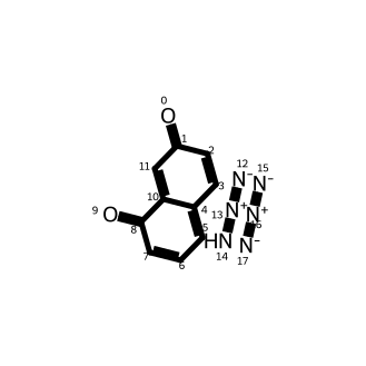 O=C1C=CC2=CC=CC(=O)C2=C1.[N-]=[N+]=N.[N-]=[N+]=[N-]